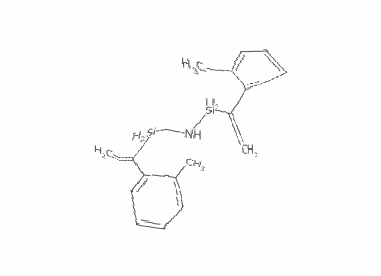 C=C([SiH2]N[SiH2]C(=C)c1ccccc1C)c1ccccc1C